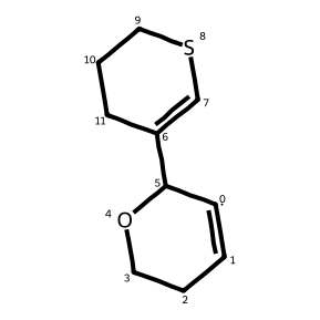 [C]1=CCCOC1C1=CSCCC1